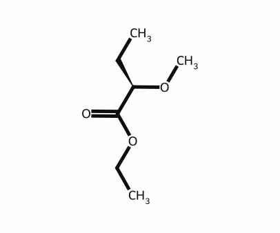 CCOC(=O)[C@@H](CC)OC